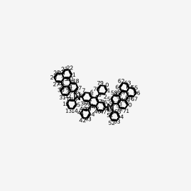 c1ccc(-c2c3ccc(N(c4ccccc4)c4ccc5c6cccc7cccc(c8cccc4c85)c76)cc3c(-c3ccccc3)c3ccc(N(c4ccccc4)c4ccc5c6cccc7cccc(c8cccc4c85)c76)cc23)cc1